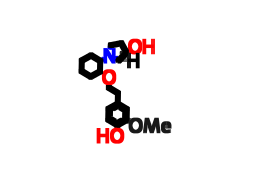 [2H]C1(O)CCN([C@@H]2CCCC[C@H]2OCCc2ccc(O)c(OC)c2)C1